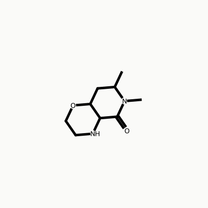 CC1CC2OCCNC2C(=O)N1C